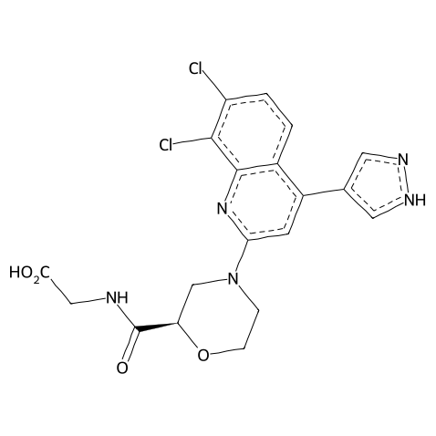 O=C(O)CNC(=O)[C@H]1CN(c2cc(-c3cn[nH]c3)c3ccc(Cl)c(Cl)c3n2)CCO1